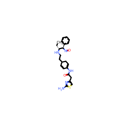 CC[C@@H](NCCC1C=CC(NC(=O)Cc2csc(N)n2)=CC1)[C@H](N=O)c1ccccc1